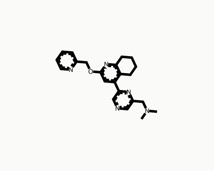 CN(C)Cc1cncc(-c2cc(OCc3ccccn3)nc3c2CCCC3)n1